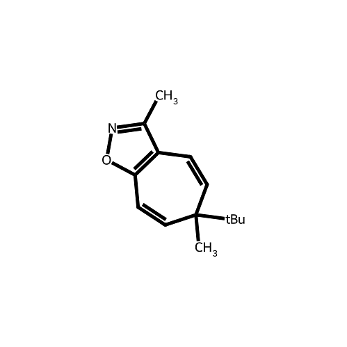 Cc1noc2c1C=CC(C)(C(C)(C)C)C=C2